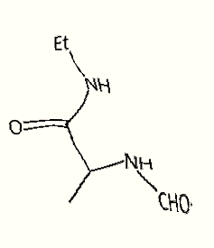 CCNC(=O)C(C)N[C]=O